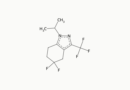 CC(C)n1nc(C(F)(F)F)c2c1CCC(F)(F)C2